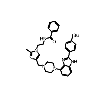 Cc1nc(CN2CCN(c3cccc4[nH]c(-c5ccc(C(C)(C)C)cc5)nc34)CC2)cn1CCNC(=O)c1ccccc1